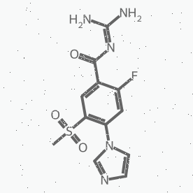 CS(=O)(=O)c1cc(C(=O)N=C(N)N)c(F)cc1-n1ccnc1